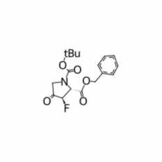 CC(C)(C)OC(=O)N1CC(=O)[C@H](F)[C@H]1C(=O)OCc1ccccc1